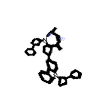 C=C1/C=C\C(C)=C/N(c2cccc(-c3ccccc3)c2)c2ccc(-c3ccc4c(c3)c3ccccc3n4-c3cccc(-c4ccccc4)c3)cc21